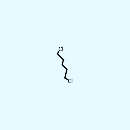 ClC[CH]CCCCl